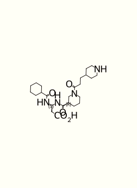 O=C(O)C[C@@H](NC(=O)C1CCCCC1)NC(=O)[C@@H]1CCCN(C(=O)CCC2CCNCC2)C1